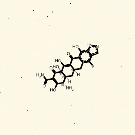 NC(=O)C1=C(O)[C@@H](N)[C@@H]2C[C@@H]3Cc4c(c(O)c5[nH]ncc5c4F)C(=O)C3=C(O)[C@]2(O)C1=O